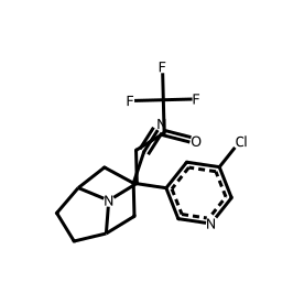 N#CC1(c2cncc(Cl)c2)CC2CCC(C1)N2CCC(=O)C(F)(F)F